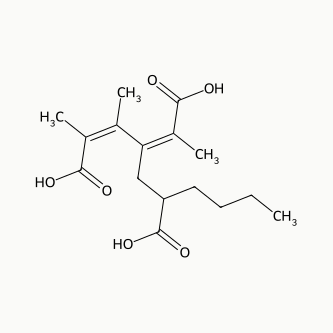 CCCCC(CC(C(C)=C(C)C(=O)O)=C(C)C(=O)O)C(=O)O